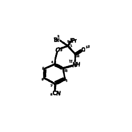 CC(C)C1(Br)Oc2ccc(C#N)cc2NC1=O